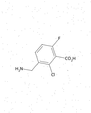 NCc1ccc(F)c(C(=O)O)c1Cl